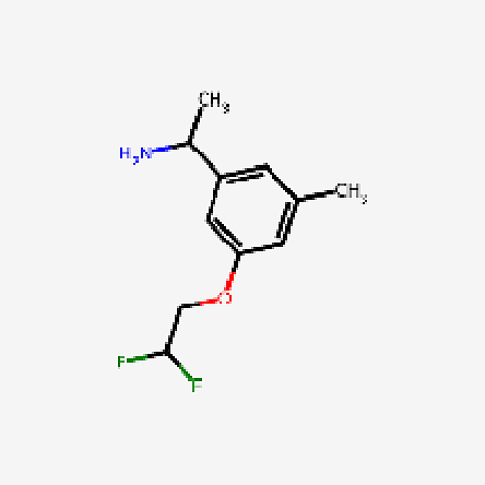 Cc1cc(OCC(F)F)cc(C(C)N)c1